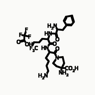 NCCCCC(NC(=O)C(CCCC(F)(F)F)NC(=O)C(N)Cc1ccccc1)C(=O)N1CCC(N)(C(=O)O)CC1.O=C(O)C(F)(F)F